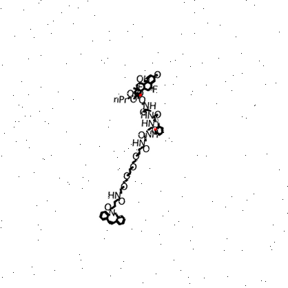 CCCC1OC2CC3C4C[C@H](F)C5=CC(=O)C=CC5(C)C4(F)C(O)CC3(C)C2(C(=O)COCNC(=O)CNC(=O)[C@H](Cc2ccccc2)NC(=O)CNC(=O)CNC(=O)CCOCCOCCOCCOCCNC(=O)CCC(=O)N2Cc3ccccc3C#Cc3ccccc32)O1